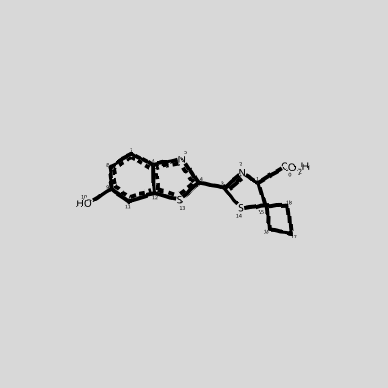 O=C(O)C1N=C(c2nc3ccc(O)cc3s2)SC12CCC2